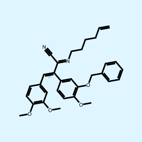 C=CCCCCN=C(C#N)/C(=C/c1ccc(OC)c(OC)c1)c1ccc(OC)c(OCc2ccccc2)c1